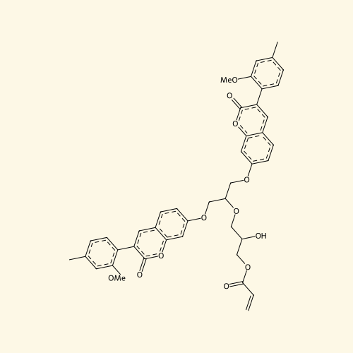 C=CC(=O)OCC(O)COC(COc1ccc2cc(-c3ccc(C)cc3OC)c(=O)oc2c1)COc1ccc2cc(-c3ccc(C)cc3OC)c(=O)oc2c1